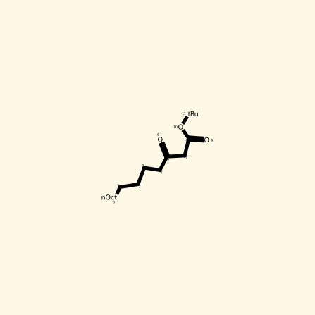 CCCCCCCCCCCCC(=O)CC(=O)OC(C)(C)C